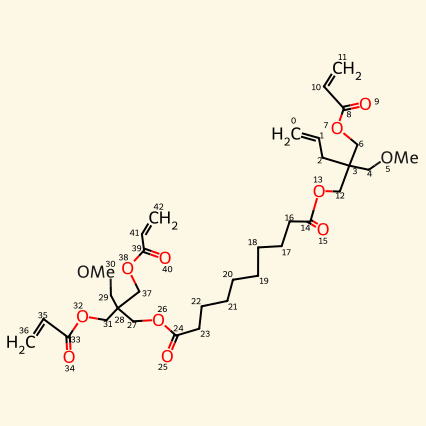 C=CCC(COC)(COC(=O)C=C)COC(=O)CCCCCCCCC(=O)OCC(COC)(COC(=O)C=C)COC(=O)C=C